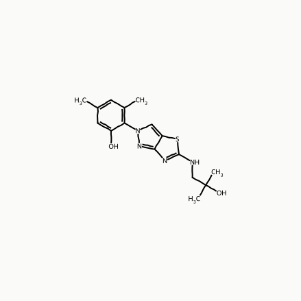 Cc1cc(C)c(-n2cc3sc(NCC(C)(C)O)nc3n2)c(O)c1